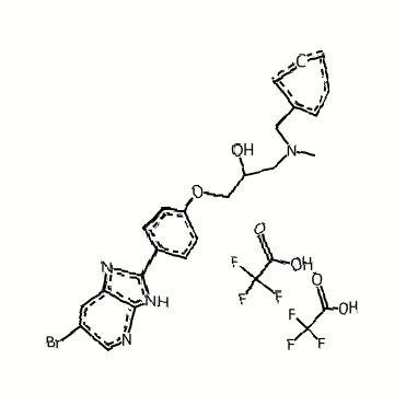 CN(Cc1ccccc1)CC(O)COc1ccc(-c2nc3cc(Br)cnc3[nH]2)cc1.O=C(O)C(F)(F)F.O=C(O)C(F)(F)F